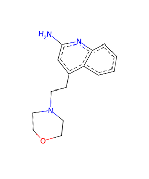 Nc1cc(CCN2CCOCC2)c2ccccc2n1